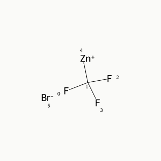 F[C](F)(F)[Zn+].[Br-]